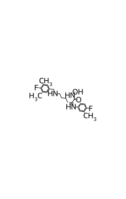 Cc1cc(N[C@H](CCCCNCc2cc(C)c(F)c(C)c2)C(=O)NO)ccc1F